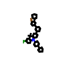 CC1(C)c2cc(F)ccc2N(c2ccc(-c3ccccc3)cc2)c2ccc(-c3cccc(-c4ccc5sc6ccccc6c5c4)c3)cc21